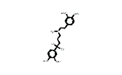 COc1ccc(CCN(C)CCCC(C#N)(c2ccc(OC)c(OC)c2)C(C)(C)C)cc1OC